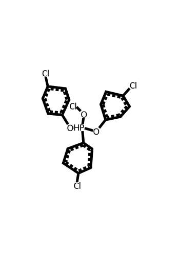 ClO[PH](Oc1ccc(Cl)cc1)(Oc1ccc(Cl)cc1)c1ccc(Cl)cc1